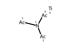 CC(=O)N(C(C)=O)C(C)=O.[Ti]